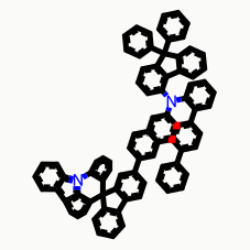 c1ccc(-c2ccc(-c3ccccc3N(c3ccc4cc(-c5ccc6c(c5)C5(c7ccccc7-6)c6ccccc6-n6c7ccccc7c7cccc5c76)ccc4c3)c3cccc4c3-c3ccccc3C4(c3ccccc3)c3ccccc3)cc2)cc1